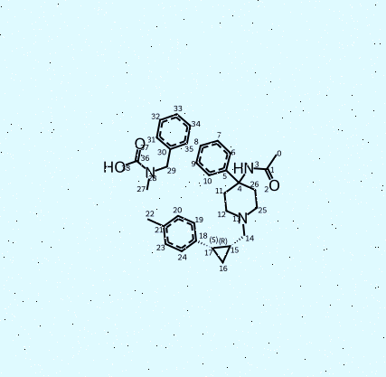 CC(=O)NC1(c2ccccc2)CCN(C[C@@H]2C[C@@H]2c2ccc(C)cc2)CC1.CN(Cc1ccccc1)C(=O)O